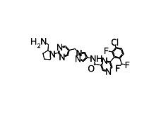 NCC1CCCN1c1ncc(Cn2cc(NC(=O)c3cncc(-c4c(C(F)F)ccc(Cl)c4F)n3)cn2)cn1